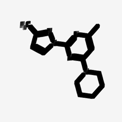 Cc1cc(N2CCCCC2)nc(-n2ccc(C(F)(F)F)n2)n1